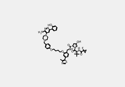 Cc1ncsc1-c1ccc(CNC(=O)[C@@H]2C[C@@H](O)CN2C(=O)[C@@H](NC(=O)C2(F)CC2)C(C)(C)C)c(OCCCCOc2ccc(CN3CCN(c4cc(-c5ccccc5O)nnc4N)CC3)cc2)c1